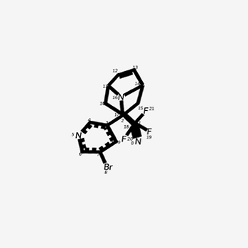 N#CC1(c2cncc(Br)c2)CC2C=CC(C1)N2CC(F)(F)F